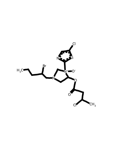 CCCC(Br)CN1CC(OC(=O)CC(C)Cl)[N+]([O-])(c2ncc(Cl)s2)C1